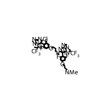 CNCCCOc1cc(F)c(-c2c(N(C)CCCOc3cc(F)c(-c4c(Cl)nc5ncnn5c4N[C@@H](C)C(F)(F)F)c(F)c3)nc3ncnn3c2N[C@@H](C)C(F)(F)F)c(F)c1